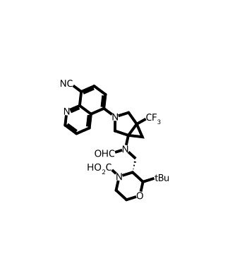 CC(C)(C)C1OCCN(C(=O)O)[C@@H]1CN(C=O)C12CN(c3ccc(C#N)c4ncccc34)CC1(C(F)(F)F)C2